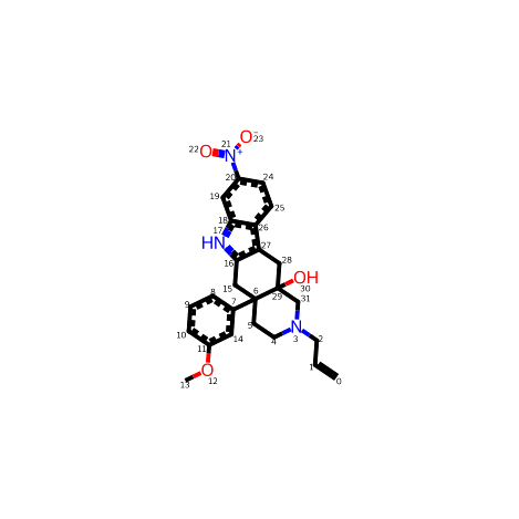 C=CCN1CCC2(c3cccc(OC)c3)Cc3[nH]c4cc([N+](=O)[O-])ccc4c3CC2(O)C1